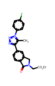 CCOC(=O)CN1Cc2cc(-c3nnn(-c4ccc(F)cc4)c3C)ccc2C1=O